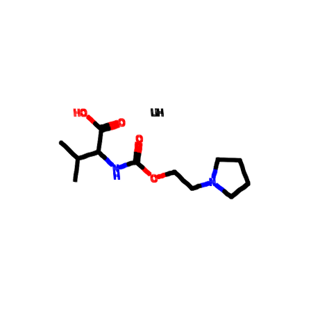 CC(C)C(NC(=O)OCCN1CCCC1)C(=O)O.[LiH]